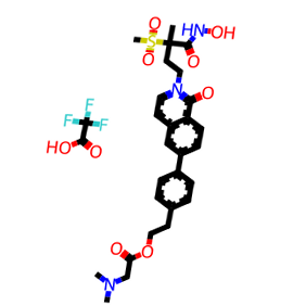 CN(C)CC(=O)OCCc1ccc(-c2ccc3c(=O)n(CCC(C)(C(=O)NO)S(C)(=O)=O)ccc3c2)cc1.O=C(O)C(F)(F)F